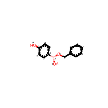 OB(OCc1ccccc1)c1ccc(O)cc1